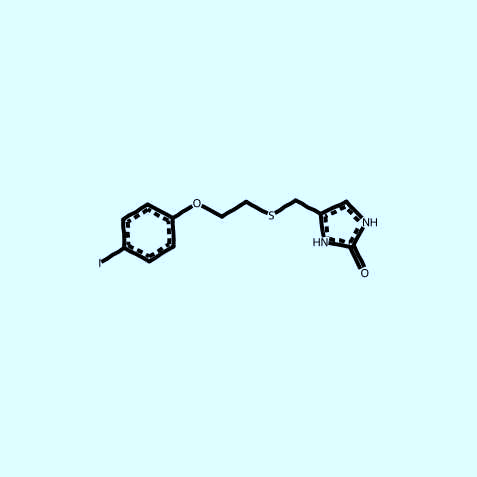 O=c1[nH]cc(CSCCOc2ccc(I)cc2)[nH]1